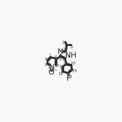 CC(C)c1nc(-c2ccc[n+]([O-])c2)c(-c2ccc(F)cc2)[nH]1